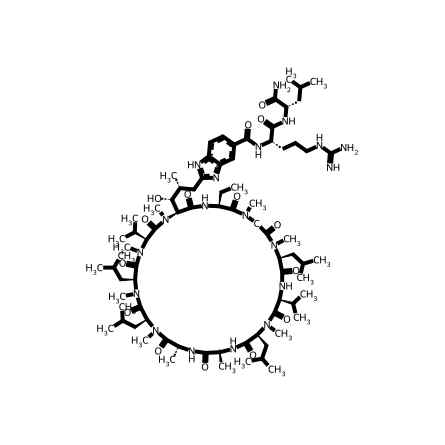 CC[C@@H]1NC(=O)[C@H]([C@H](O)[C@H](C)Cc2nc3cc(C(=O)N[C@@H](CCCNC(=N)N)C(=O)N[C@@H](CC(C)C)C(N)=O)ccc3[nH]2)N(C)C(=O)[C@H](C(C)C)N(C)C(=O)[C@H](CC(C)C)N(C)C(=O)[C@H](CC(C)C)N(C)C(=O)[C@@H](C)NC(=O)[C@H](C)NC(=O)[C@H](CC(C)C)N(C)C(=O)[C@H](C(C)C)NC(=O)[C@H](CC(C)C)N(C)C(=O)CN(C)C1=O